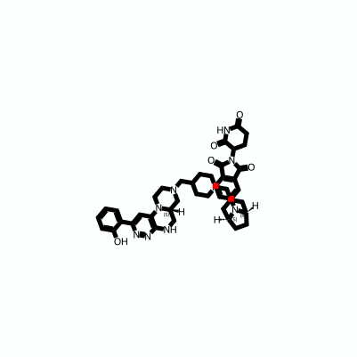 O=C1CCC(N2C(=O)c3ccc(N4[C@@H]5CC[C@H]4CC(CN4CCC(CN6CCN7c8cc(-c9ccccc9O)nnc8NC[C@H]7C6)CC4)C5)cc3C2=O)C(=O)N1